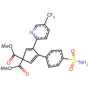 COC(=O)C1(C(=O)OC)C=C(c2ccc(S(N)(=O)=O)cc2)C(c2ccc(C(F)(F)F)cn2)=C1